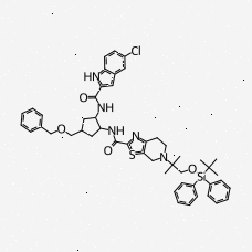 CC(C)(CO[Si](c1ccccc1)(c1ccccc1)C(C)(C)C)N1CCc2nc(C(=O)NC3CC(COCc4ccccc4)CC3NC(=O)c3cc4cc(Cl)ccc4[nH]3)sc2C1